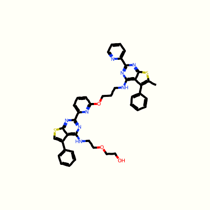 Cc1sc2nc(-c3ccccn3)nc(NCCCOc3cccc(-c4nc(NCCOCCO)c5c(-c6ccccc6)csc5n4)n3)c2c1-c1ccccc1